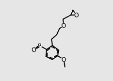 COc1ccc(P=O)c(CCCOCC2CO2)c1